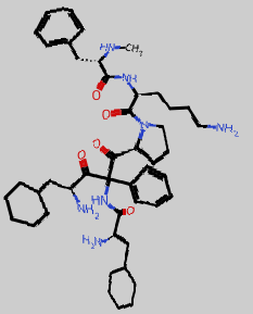 CN[C@@H](Cc1ccccc1)C(=O)N[C@@H](CCCCN)C(=O)N1CCC[C@H]1C(=O)C(NC(=O)[C@H](N)CC1CCCCC1)(C(=O)[C@@H](N)CC1CCCCC1)c1ccccc1